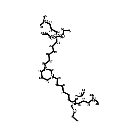 CCOC[Si](CCCCCCN1CCCN(CCCCCC[Si](CCCN(C)C)(OCC)OCC)C1)(CCCN(C)C)OCC